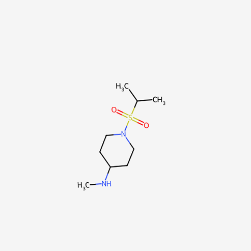 CNC1CCN(S(=O)(=O)C(C)C)CC1